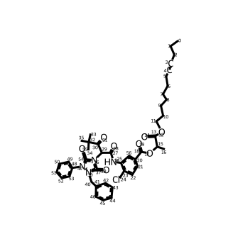 CCCCCCCCCCCCOC(=O)C(C)OC(=O)c1ccc(Cl)c(NC(=O)C(C(=O)C(C)(C)C)n2c(=O)n(Cc3ccccc3)n(-c3ccccc3)c2=O)c1